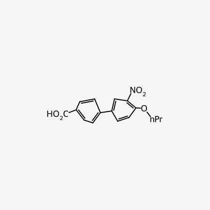 CCCOc1ccc(-c2ccc(C(=O)O)cc2)cc1[N+](=O)[O-]